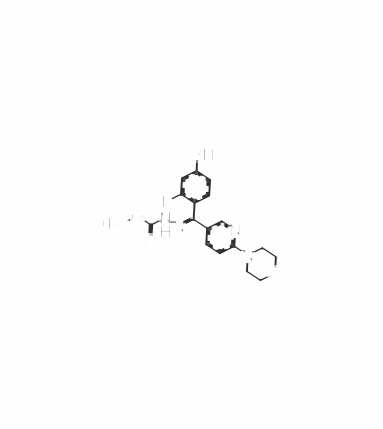 Bc1ccc(/C(=N\NC(=O)OC(C)(C)C)c2ccc(N3CCOCC3)nc2)c(F)c1